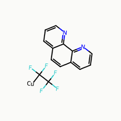 FC(F)(F)[C](F)(F)[Cu].c1cnc2c(c1)ccc1cccnc12